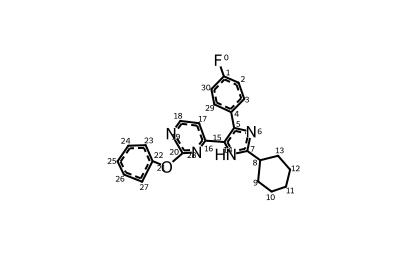 Fc1ccc(-c2nc(C3CCCCC3)[nH]c2-c2ccnc(Oc3ccccc3)n2)cc1